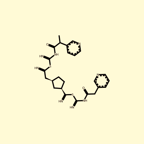 CC(C(=O)NC(=N)SC(=N)C[C@H]1CC[C@@H](C(=N)SC(=N)NC(=O)Cc2cccnc2)C1)c1cccnc1